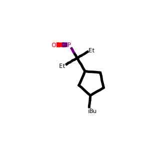 CCC(C)C1CCC(C(CC)(CC)P=O)C1